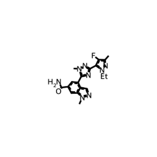 CCn1nc(C)c(F)c1-c1nc(-c2cc(C(N)=O)cc3c2cnn3C)n(C)n1